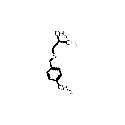 Cc1ccc(CSCC(C)C)cc1